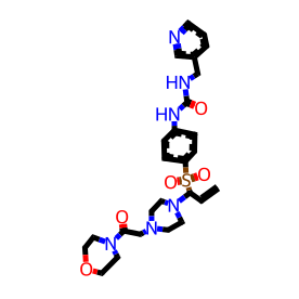 C=CC(N1CCN(CC(=O)N2CCOCC2)CC1)S(=O)(=O)c1ccc(NC(=O)NCc2cccnc2)cc1